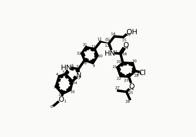 COc1ccc2[nH]c(-c3ccc(C[C@@H](CCO)NC(=O)c4ccc(OC(C)C)c(Cl)c4)cc3)nc2c1